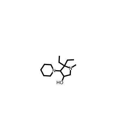 CCC1(CC)C(N2CCCCC2)C(O)CN1C